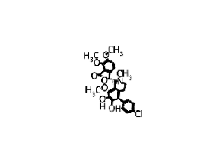 COc1ccc2c(c1OC)C(=O)OC2[C@H]1c2c(c(-c3ccc(Cl)cc3)c(O)c(O)c2OC)CCN1C